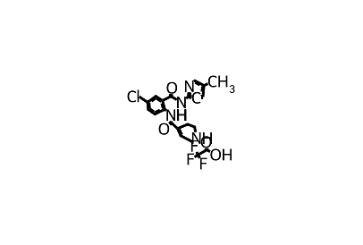 Cc1ccc(NC(=O)c2cc(Cl)ccc2NC(=O)C2=CCNCC2)nc1.O=C(O)C(F)(F)F